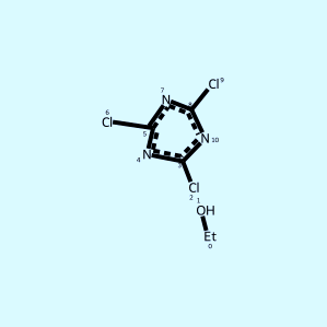 CCO.Clc1nc(Cl)nc(Cl)n1